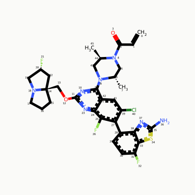 C=CC(=O)N1C[C@H](C)N(c2nc(OC[C@@]34CCCN3C[C@H](F)C4)nc3c(F)c(-c4ccc(F)c5sc(N)nc45)c(Cl)cc23)C[C@H]1C